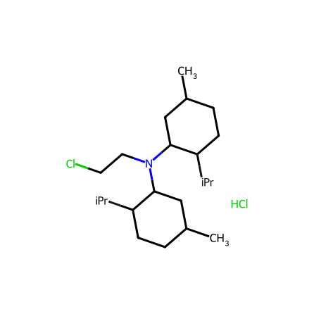 CC1CCC(C(C)C)C(N(CCCl)C2CC(C)CCC2C(C)C)C1.Cl